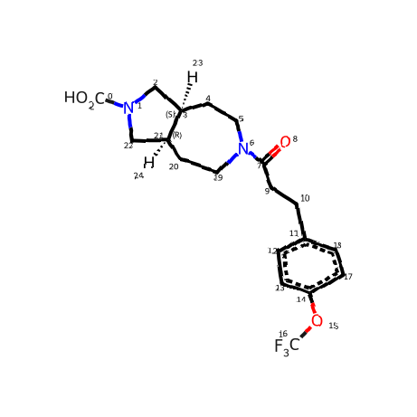 O=C(O)N1C[C@H]2CCN(C(=O)CCc3ccc(OC(F)(F)F)cc3)CC[C@H]2C1